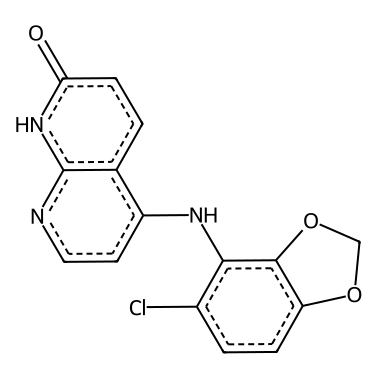 O=c1ccc2c(Nc3c(Cl)ccc4c3OCO4)ccnc2[nH]1